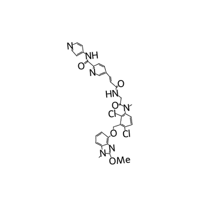 COc1nc2c(OCc3c(Cl)ccc(N(C)C(=O)CNC(=O)C=Cc4ccc(C(=O)Nc5ccncc5)nc4)c3Cl)cccc2n1C